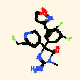 CN1C(=O)C(c2ccnc(CF)c2)(c2cc(F)c(F)c(-c3ccon3)c2)N=C1N